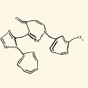 O=c1ccn(-c2cccc(C(F)(F)F)c2)nc1-c1ncnn1-c1ccccc1